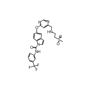 CS(=O)(=O)CCNCc1cc(Oc2ccc3c(ccn3C(=O)Nc3cccc(C(F)(F)F)c3)c2)ncn1